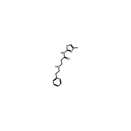 Cc1csc(NC(=O)CCNCCc2ccccc2)n1